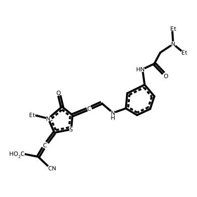 CCN(CC)CC(=O)Nc1cccc(NC=C=c2sc(=C=C(C#N)C(=O)O)n(CC)c2=O)c1